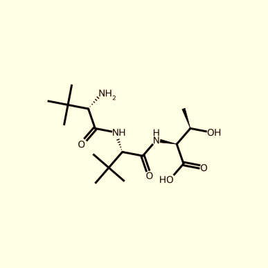 C[C@@H](O)[C@H](NC(=O)[C@@H](NC(=O)[C@@H](N)C(C)(C)C)C(C)(C)C)C(=O)O